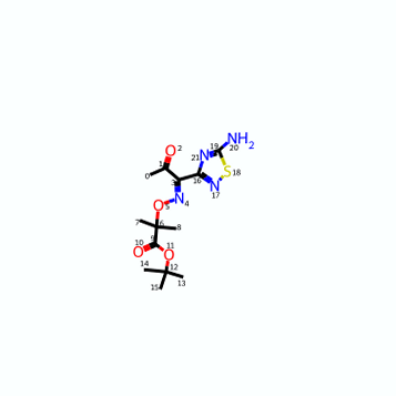 CC(=O)/C(=N\OC(C)(C)C(=O)OC(C)(C)C)c1nsc(N)n1